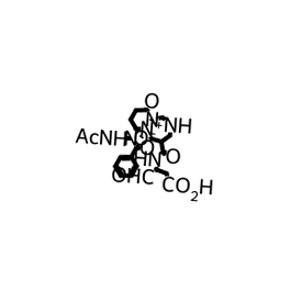 CC(=O)NN(C(=O)c1ccccc1)C1CCC(=O)N2CNCC(C(=O)NC(C=O)CC(=O)O)C[N+]12[O-]